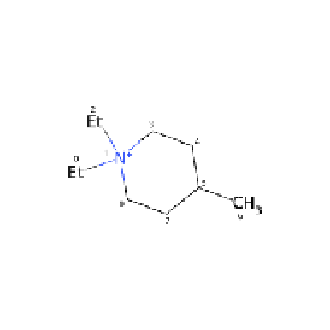 CC[N+]1(CC)CCC(C)CC1